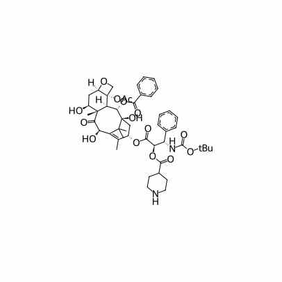 CC(=O)O[C@@]12CO[C@@H]1C[C@H](O)[C@@]1(C)C(=O)[C@H](O)C3=C(C)[C@@H](OC(=O)[C@H](OC(=O)C4CCNCC4)[C@@H](NC(=O)OC(C)(C)C)c4ccccc4)C[C@@](O)([C@@H](OC(=O)c4ccccc4)[C@H]21)C3(C)C